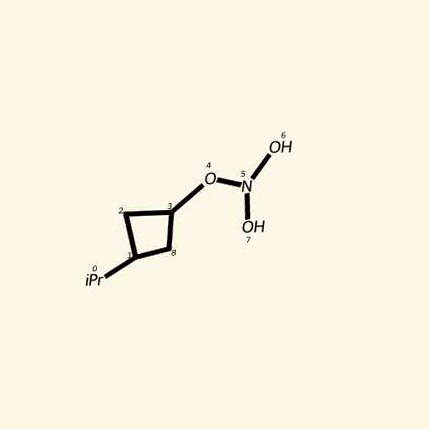 CC(C)C1CC(ON(O)O)C1